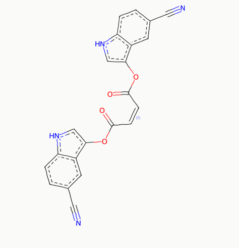 N#Cc1ccc2[nH]cc(OC(=O)/C=C\C(=O)Oc3c[nH]c4ccc(C#N)cc34)c2c1